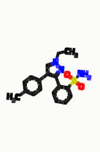 CCn1cc(-c2ccc(C)cc2)c(-c2ccccc2S(N)(=O)=O)n1